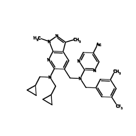 CC(=O)c1cnc(N(Cc2cc(C)cc(C(F)(F)F)c2)Cc2cc3c(C)nn(C)c3nc2N(CC2CC2)CC2CC2)nc1